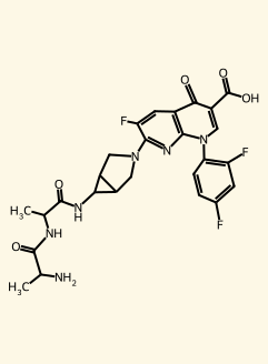 CC(N)C(=O)NC(C)C(=O)NC1C2CN(c3nc4c(cc3F)c(=O)c(C(=O)O)cn4-c3ccc(F)cc3F)CC21